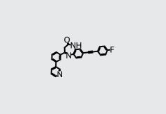 O=C1CC(c2cccc(-c3cccnc3)c2)=Nc2ccc(C#Cc3ccc(F)cc3)cc2N1